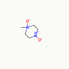 C[N+]1([O-])CC[NH+]([O-])CC1